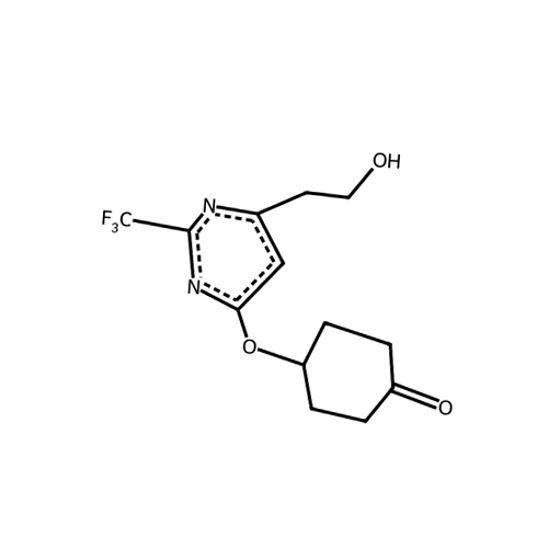 O=C1CCC(Oc2cc(CCO)nc(C(F)(F)F)n2)CC1